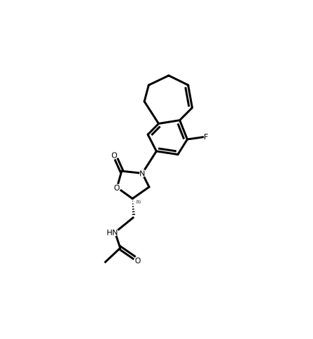 CC(=O)NC[C@H]1CN(c2cc(F)c3c(c2)CCCC=C3)C(=O)O1